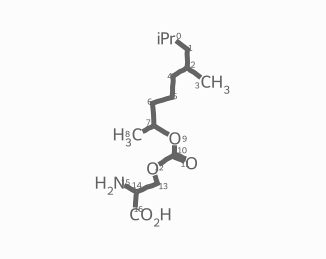 CC(C)CC(C)CCCC(C)OC(=O)OCC(N)C(=O)O